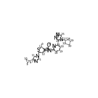 Cc1sc(-n2cnc(C3CC3)c2)cc1C(=O)Nc1cccc(-c2nncn2C2CCCC2)n1